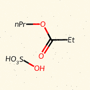 CCCOC(=O)CC.O=S(=O)(O)O